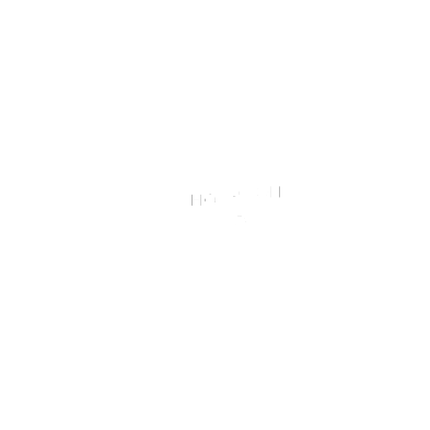 C=CP(=O)(O)O.C=Cc1ccccc1